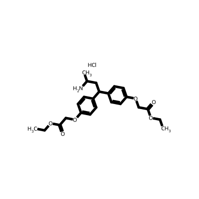 CCOC(=O)COc1ccc(C(CC(C)N)c2ccc(OCC(=O)OCC)cc2)cc1.Cl